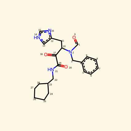 O=CN(Cc1ccccc1)C(Cc1c[nH]cn1)C(=O)C(=O)NCC1CCCCC1